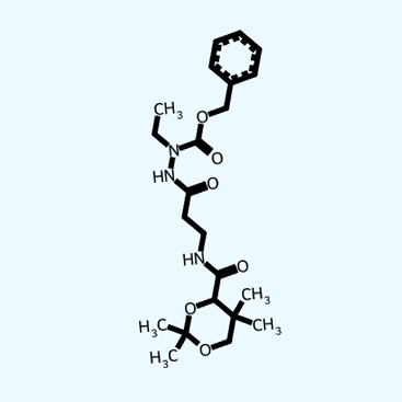 CCN(NC(=O)CCNC(=O)C1OC(C)(C)OCC1(C)C)C(=O)OCc1ccccc1